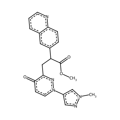 COC(=O)C(Cc1nn(-c2cnn(C)c2)ccc1=O)c1ccc2ncccc2c1